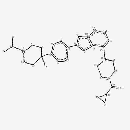 CC(C)N1CCC(F)(c2ccc(-c3cc4c(N5CCN(C(=O)C6CC6)CC5)ccnn4c3)cc2)CC1